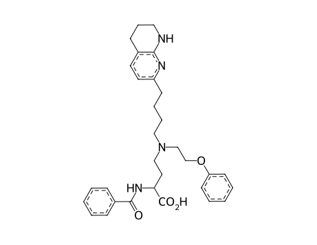 O=C(NC(CCN(CCCCc1ccc2c(n1)NCCC2)CCOc1ccccc1)C(=O)O)c1ccccc1